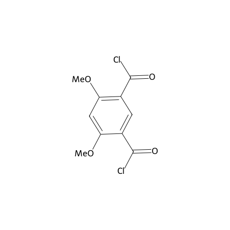 COc1cc(OC)c(C(=O)Cl)cc1C(=O)Cl